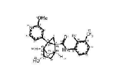 COc1cc([C@@]23C[C@]2(C(=O)Nc2cccc(C(F)(F)F)c2F)[C@H]2C[C@H](O)[C@@H]3O2)ccn1